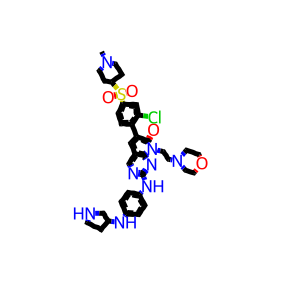 CN1CCC(S(=O)(=O)c2ccc(-c3cc4cnc(Nc5ccc(NC6CCNC6)cc5)nc4n(CCN4CCOCC4)c3=O)c(Cl)c2)CC1